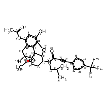 CC(=O)Oc1cc(O)c2c3c1C[C@@H]1[C@@H]4CC[C@H](N(CC(C)C)C(=O)C#Cc5ccc(C(F)(F)F)cc5)[C@H](O2)[C@]34CCN1C